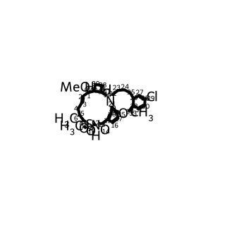 CO[C@H]1/C=C/C[C@H](C)[C@@H](C)S(=O)(=O)NC(=O)c2ccc3c(c2)N(CCCCC2C=C(Cl)C=CC2(C)CO3)C[C@@H]2CC[C@H]21